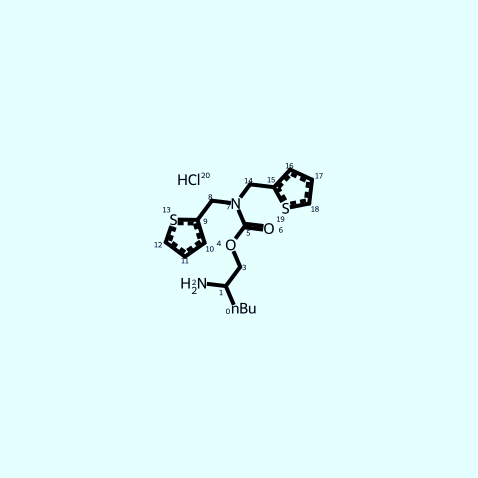 CCCCC(N)COC(=O)N(Cc1cccs1)Cc1cccs1.Cl